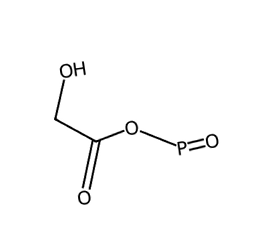 O=POC(=O)CO